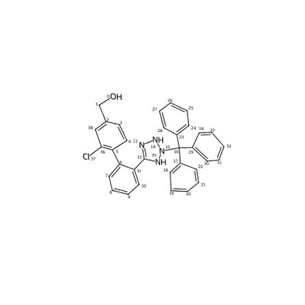 OCc1ccc(-c2ccccc2C2=NNN(C(c3ccccc3)(c3ccccc3)c3ccccc3)N2)c(Cl)c1